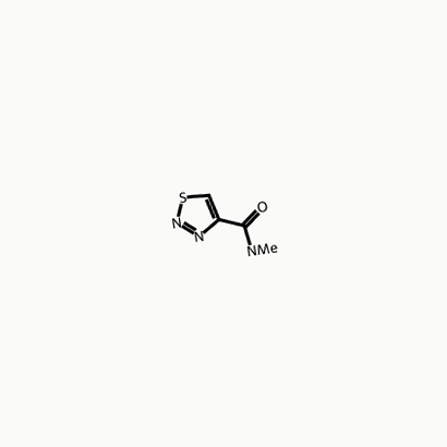 CNC(=O)c1csnn1